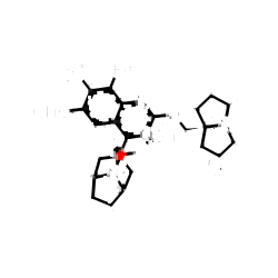 CC(C)(C)OC(=O)N1C2CCC1CN(c1nc(OC[C@@]34CCCN3C[C@H](F)C4)nc3c(F)c(Br)c(C=O)cc13)C2